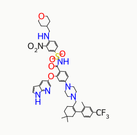 Cc1cc(C(F)(F)F)ccc1C1=C(CN2CCN(c3ccc(C(=O)NS(=O)(=O)c4ccc(NCC5CCOCC5)c([N+](=O)[O-])c4)c(Oc4cnc5[nH]ccc5c4)c3)CC2)CCC(C)(C)C1